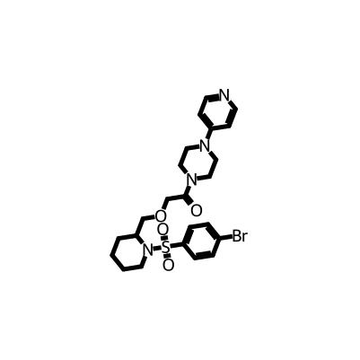 O=C(COCC1CCCCN1S(=O)(=O)c1ccc(Br)cc1)N1CCN(c2ccncc2)CC1